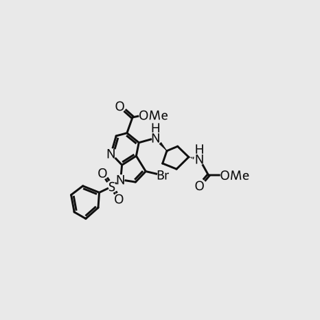 COC(=O)N[C@@H]1CC[C@@H](Nc2c(C(=O)OC)cnc3c2c(Br)cn3S(=O)(=O)c2ccccc2)C1